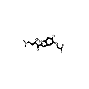 CN(C)C/C=C(\C#N)C(=O)c1cc2cc(OCC(F)F)c(Br)cc2[nH]1